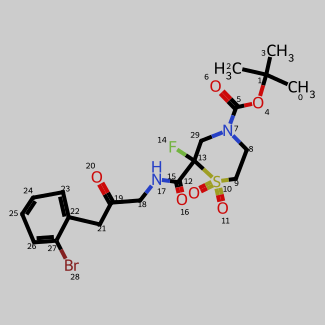 CC(C)(C)OC(=O)N1CCS(=O)(=O)C(F)(C(=O)NCC(=O)Cc2ccccc2Br)C1